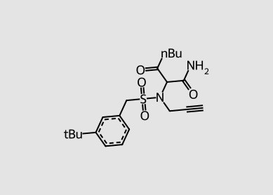 C#CCN(C(C(N)=O)C(=O)CCCC)S(=O)(=O)Cc1cccc(C(C)(C)C)c1